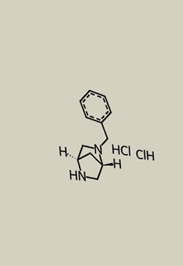 Cl.Cl.c1ccc(CN2C[C@H]3C[C@H]2CN3)cc1